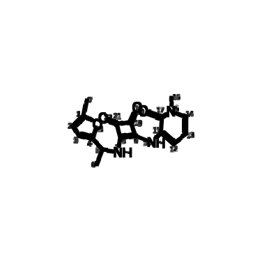 Cc1ccc(C(C)Nc2c(Nc3cccn(C)c3=O)c(=O)c2=O)o1